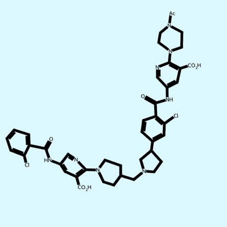 CC(=O)N1CCN(c2ncc(NC(=O)c3ccc(C4CCN(CC5CCN(c6ncc(NC(=O)c7ccccc7Cl)cc6C(=O)O)CC5)C4)cc3Cl)cc2C(=O)O)CC1